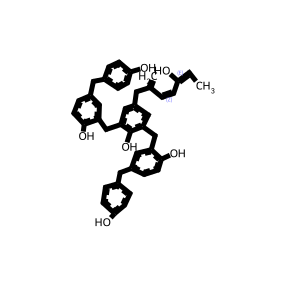 C=C(/C=C\C(O)=C/C)Cc1cc(Cc2cc(Cc3ccc(O)cc3)ccc2O)c(O)c(Cc2cc(Cc3ccc(O)cc3)ccc2O)c1